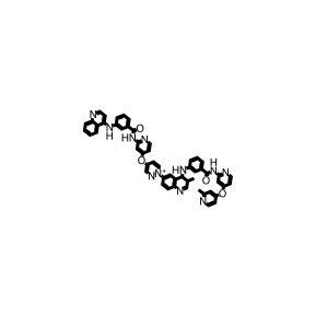 Cc1cc(Oc2ccnc(NC(=O)c3cccc(NC4c5cc(-[n+]6ccc(Oc7ccnc(NC(=O)c8cccc(Nc9ccnc%10ccccc9%10)c8)c7)cn6)ccc5N=CC4C)c3)c2)ccn1